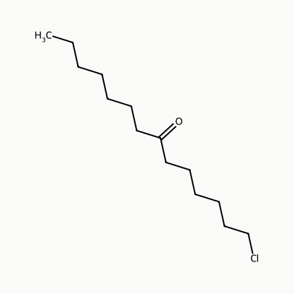 CCCCCCCC(=O)CCCCCCCl